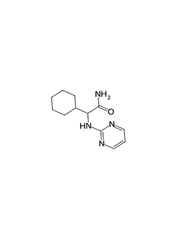 NC(=O)C(Nc1ncccn1)C1CCCCC1